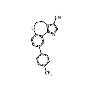 N#Cc1cnc2n1CCOc1ccc(-c3ccc(C(F)(F)F)cc3)cc1-2